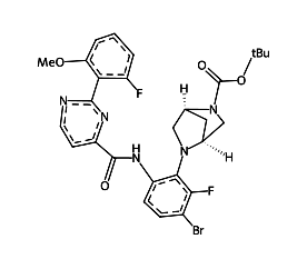 COc1cccc(F)c1-c1nccc(C(=O)Nc2ccc(Br)c(F)c2N2C[C@@H]3C[C@H]2CN3C(=O)OC(C)(C)C)n1